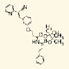 CC1(C)OB([C@H](CCc2ccccc2)NC(=O)CCOc2cccc(C=C(C#N)c3ccccn3)c2)OC1(C)C